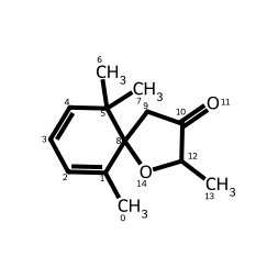 CC1=CC=CC(C)(C)C12CC(=O)C(C)O2